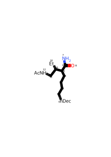 CCCCCCCCCCCCCCC(C(N)=O)C(CC)CNC(C)=O